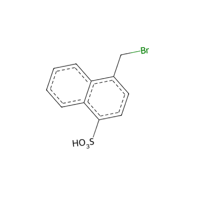 O=S(=O)(O)c1ccc(CBr)c2ccccc12